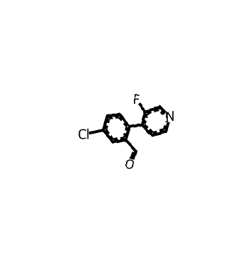 O=Cc1cc(Cl)ccc1-c1ccncc1F